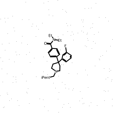 CCCC(C)CN1CCC(c2ccc(C(=O)N(CC)CC)cc2)(c2cccc(F)c2)CC1